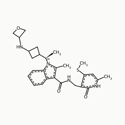 CSc1cc(C)[nH]c(=O)c1CNC(=O)c1c(C)n([C@H](C)C2CC(NC3COC3)C2)c2ccccc12